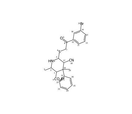 CCOC(=O)C1C(C)NC(SCC(=O)c2cccc(Br)c2)C(C#N)C1(C)c1ccccc1